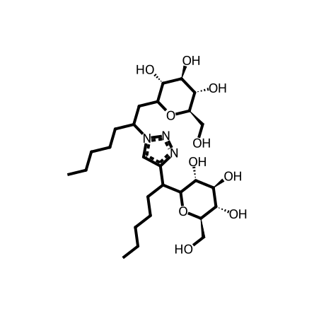 CCCCCC(c1cn(C(CCCCC)CC2O[C@H](CO)[C@@H](O)[C@H](O)[C@H]2O)nn1)C1O[C@H](CO)[C@@H](O)[C@H](O)[C@H]1O